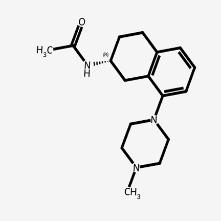 CC(=O)N[C@@H]1CCc2cccc(N3CCN(C)CC3)c2C1